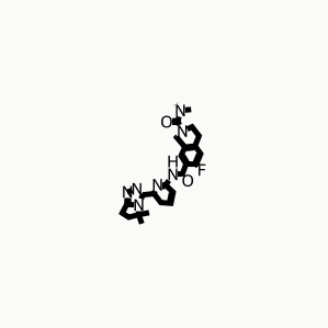 CN(C)C(=O)N1CCc2cc(F)c(C(=O)NC3=NC(c4nnc5n4C(C)(C)CC5)CC=C3)cc2C1